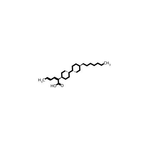 CC=CC=C(C(=O)O)[C@H]1CC[C@H]([C@H]2CC[C@H](CCCCCCC)CC2)CC1